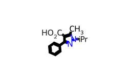 Cc1c(C(=O)O)c(-c2ccccc2)nn1C(C)C